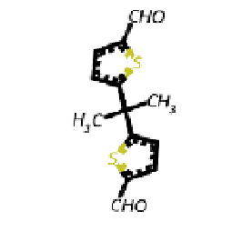 CC(C)(c1ccc(C=O)s1)c1ccc(C=O)s1